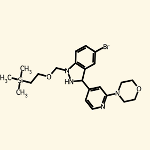 C[Si](C)(C)CCOCN1NC(c2ccnc(N3CCOCC3)c2)c2cc(Br)ccc21